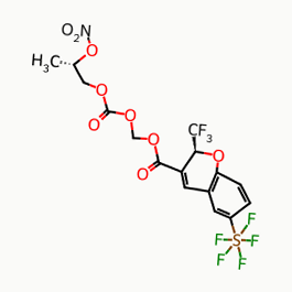 C[C@@H](COC(=O)OCOC(=O)C1=Cc2cc(S(F)(F)(F)(F)F)ccc2O[C@@H]1C(F)(F)F)O[N+](=O)[O-]